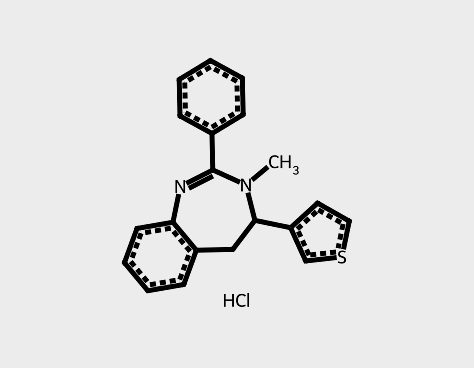 CN1C(c2ccccc2)=Nc2ccccc2CC1c1ccsc1.Cl